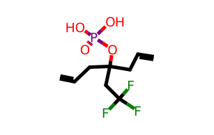 C=CCC(CC=C)(CC(F)(F)F)OP(=O)(O)O